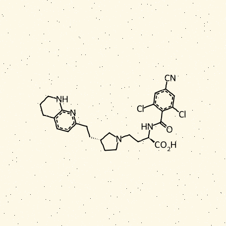 N#Cc1cc(Cl)c(C(=O)N[C@H](CCN2CC[C@H](CCc3ccc4c(n3)NCCC4)C2)C(=O)O)c(Cl)c1